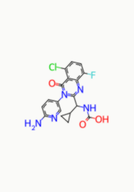 Nc1ccc(-n2c(C(NC(=O)O)C3CC3)nc3c(F)ccc(Cl)c3c2=O)cn1